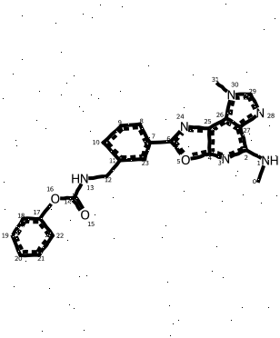 CNc1nc2oc(-c3cccc(CNC(=O)Oc4ccccc4)c3)nc2c2c1ncn2C